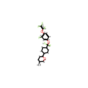 CCC1CCC(C2CCC(C(F)(F)Oc3ccc(OC(F)=C(F)F)c(F)c3)CC2)OC1